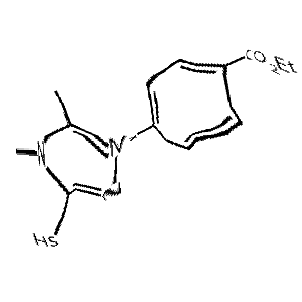 CCOC(=O)c1ccc(-[n+]2nc(S)n(C)c2C)cc1